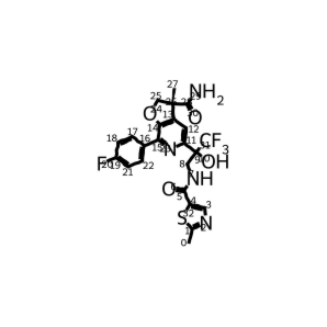 Cc1ncc(C(=O)NCC(O)(c2cc3c(c(-c4ccc(F)cc4)n2)OC[C@]3(C)C(N)=O)C(F)(F)F)s1